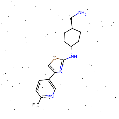 NC[C@H]1CC[C@H](Nc2nc(-c3ccc(C(F)(F)F)nc3)cs2)CC1